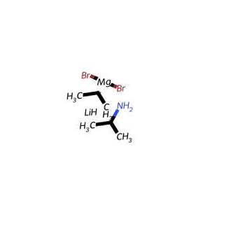 CC(C)N.C[CH]C.[Br][Mg][Br].[LiH]